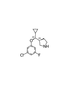 Fc1cc(Cl)cc(O[C@@H](C2CC2)[C@H]2CCNC2)c1